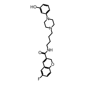 O=C(NCCCCN1CCN(c2cccc(O)c2)CC1)C1=Cc2cc(F)ccc2OC1